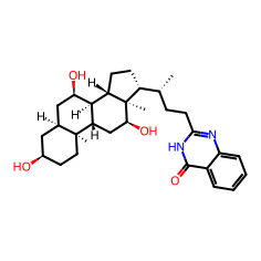 C[C@H](CCc1nc2ccccc2c(=O)[nH]1)[C@H]1CC[C@H]2[C@@H]3[C@H](O)C[C@@H]4C[C@H](O)CC[C@]4(C)[C@H]3C[C@H](O)[C@]12C